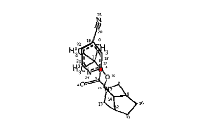 CC(C)(C)OC(=O)N1CC2CCC(C1)C2COc1cc(C#N)ccn1